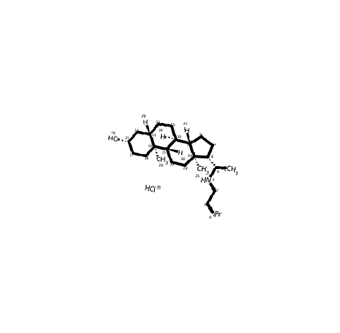 CC(C)CCNC(C)[C@H]1CC[C@H]2[C@@H]3CC[C@H]4C[C@@H](O)CC[C@]4(C)[C@H]3CC[C@]12C.Cl